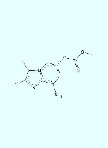 COC(=O)Oc1cc(N)c2nc(C)c(C)n2c1